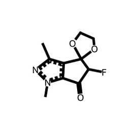 Cc1nn(C)c2c1C1(OCCO1)C(F)C2=O